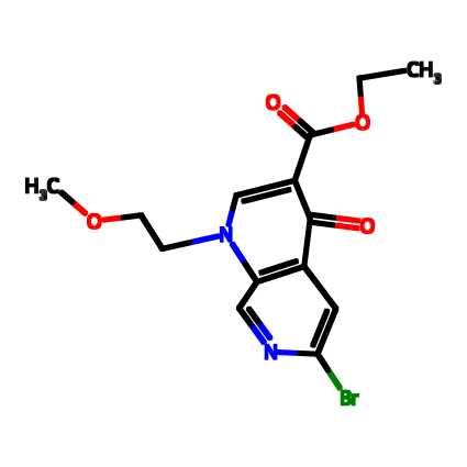 CCOC(=O)c1cn(CCOC)c2cnc(Br)cc2c1=O